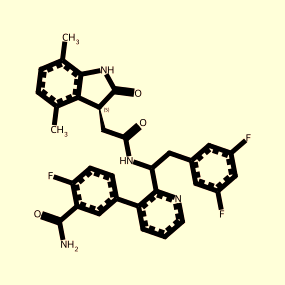 Cc1ccc(C)c2c1NC(=O)[C@H]2CC(=O)NC(Cc1cc(F)cc(F)c1)c1ncccc1-c1ccc(F)c(C(N)=O)c1